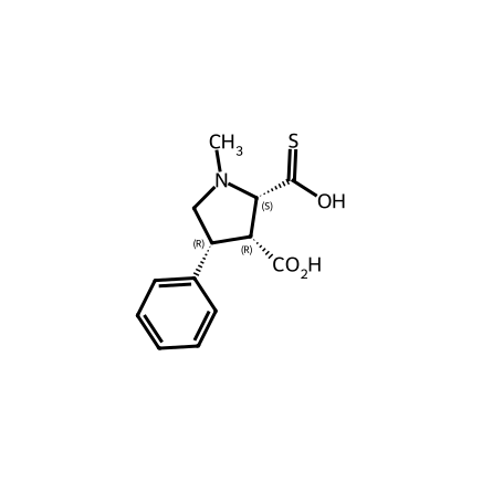 CN1C[C@@H](c2ccccc2)[C@@H](C(=O)O)[C@H]1C(O)=S